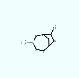 CN1CCC2CC(O)C(C2)C1